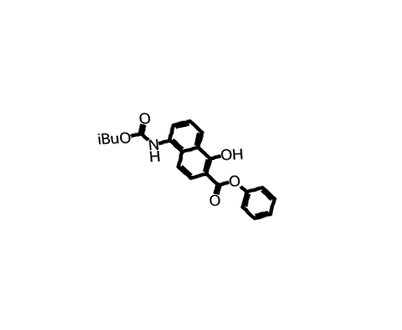 CC(C)COC(=O)Nc1cccc2c(O)c(C(=O)Oc3ccccc3)ccc12